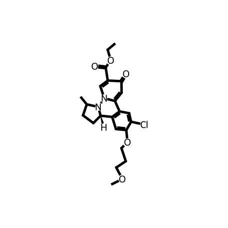 CCOC(=O)c1cn2c(cc1=O)-c1cc(Cl)c(OCCCOC)cc1[C@@H]1CCC(C)N12